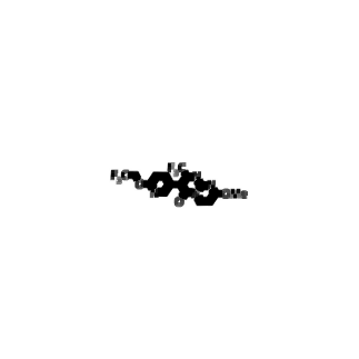 COc1ccn2c(=O)c(-c3ccc(OCC(F)(F)F)nc3)c(C(F)(F)F)nc2n1